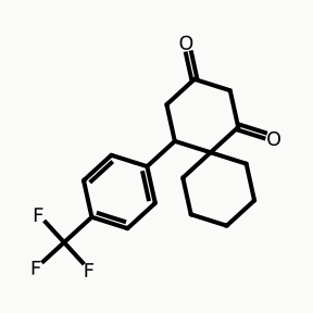 O=C1CC(=O)C2(CCCCC2)C(c2ccc(C(F)(F)F)cc2)C1